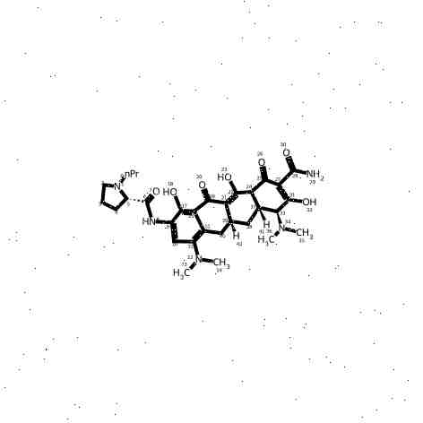 CCCN1CCC[C@H]1C(=O)Nc1cc(N(C)C)c2c(c1O)C(=O)C1=C(O)C3C(=O)C(C(N)=O)=C(O)[C@@H](N(C)C)[C@@H]3C[C@@H]1C2